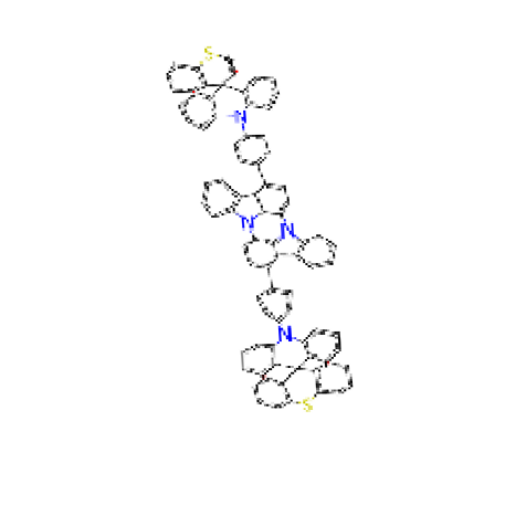 C1=C(c2ccc(N3c4ccccc4C4(c5ccccc5Sc5ccccc54)c4ccccc43)cc2)C2c3ccccc3N3c4ccc(-c5ccc(N6c7ccccc7C7(c8ccccc8Sc8ccccc87)c7ccccc76)cc5)c5c6ccccc6n(c45)C(=C1)C23